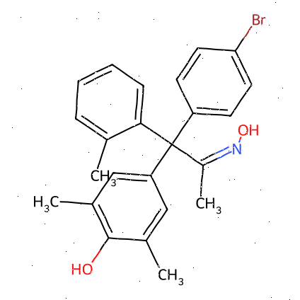 C/C(=N/O)C(c1ccc(Br)cc1)(c1cc(C)c(O)c(C)c1)c1ccccc1C